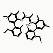 CCc1cccc(C)c1-c1cc(C)cc(C)c1N=C(C)C(C)=[N+]([Pd])c1c(C)cc(C)cc1-c1c(C)cccc1CC